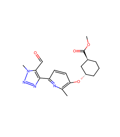 COC(=O)[C@H]1CCC[C@H](Oc2ccc(-c3nnn(C)c3C=O)nc2C)C1